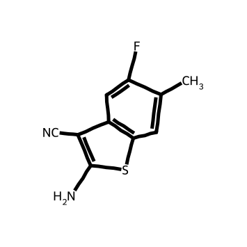 Cc1cc2sc(N)c(C#N)c2cc1F